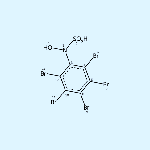 O=S(=O)(O)N(O)c1c(Br)c(Br)c(Br)c(Br)c1Br